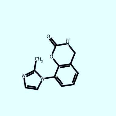 Cc1nccn1-c1cccc2c1OC(=O)NC2